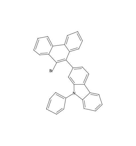 Brc1c(-c2ccc3c4ccccc4n(-c4ccccc4)c3c2)c2ccccc2c2ccccc12